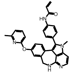 C=CC(=O)Nc1ccc(-c2c3c4c(nccc4n2C)NCc2cc(Oc4cccc(C)n4)ccc2-3)cc1